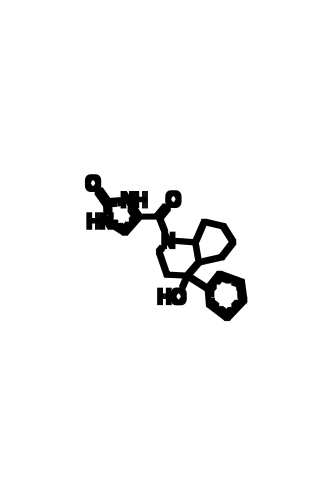 O=C(c1c[nH]c(=O)[nH]1)N1CCC(O)(c2ccccc2)C2CCCCC21